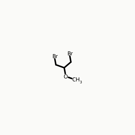 COC(CBr)CBr